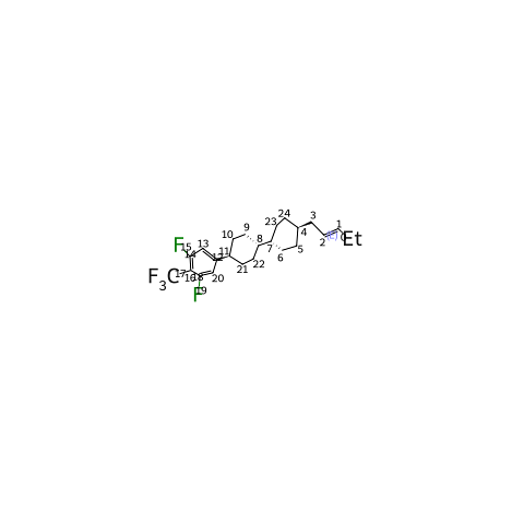 CC/C=C/C[C@H]1CC[C@H]([C@H]2CC[C@H](c3cc(F)c(C(F)(F)F)c(F)c3)CC2)CC1